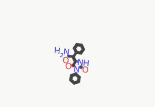 NC(=O)C(=C1NC(=O)N(c2ccccc2)C1=O)c1ccccc1